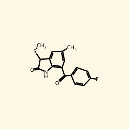 CSC1C(=O)Nc2c(C(=O)c3ccc(F)cc3)cc(C)cc21